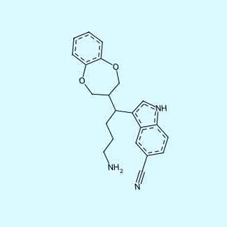 N#Cc1ccc2[nH]cc(C(CCCN)C3COc4ccccc4OC3)c2c1